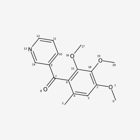 COc1cc(C)c(C(=O)c2cccnc2)c(OC)c1OC